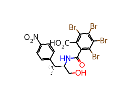 C[C@H](c1ccc([N+](=O)[O-])cc1)C(CO)NC(=O)c1c(Br)c(Br)c(Br)c(Br)c1C(=O)O